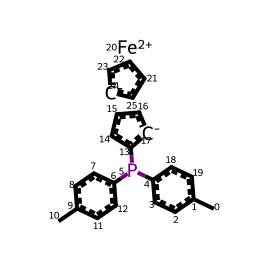 Cc1ccc(P(c2ccc(C)cc2)c2ccc[cH-]2)cc1.[Fe+2].c1cc[cH-]c1